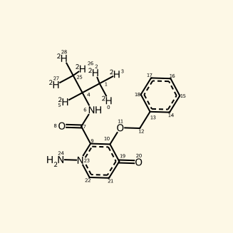 [2H]C([2H])([2H])C([2H])(NC(=O)c1c(OCc2ccccc2)c(=O)ccn1N)C([2H])([2H])[2H]